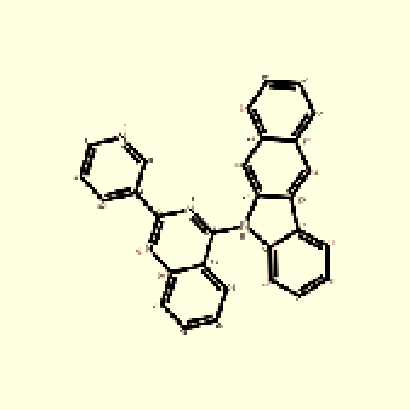 c1cncc(-c2nc(-n3c4ccccc4c4cc5ccccc5cc43)c3ccccc3n2)c1